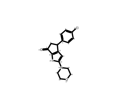 O=C1CC(c2ccc(Cl)cc2)c2cc(N3CCOCC3)sc21